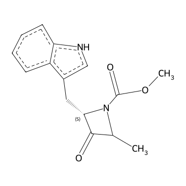 COC(=O)N1C(C)C(=O)[C@@H]1Cc1c[nH]c2ccccc12